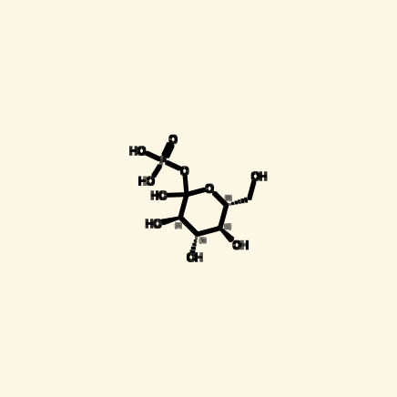 O=P(O)(O)OC1(O)O[C@H](CO)[C@@H](O)[C@H](O)[C@H]1O